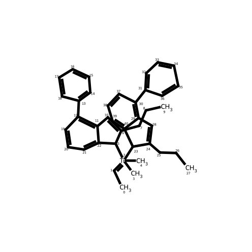 C[CH]=[Ti]([CH3])([CH3])([CH]1C(CCC)=Cc2c(-c3ccccc3)cccc21)[CH]1C(CCC)=Cc2c(-c3ccccc3)cccc21